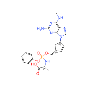 CNc1nc(N)nc2c1ncn2[C@H]1C=C[C@@H](COP(=O)(N[C@H](C)C(=O)O)Oc2ccccc2)C1